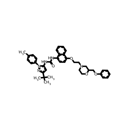 Cc1ccc(-n2nc(C(C)(C)C)cc2NC(=O)Nc2ccc(OCCN3CCOC(COc4ccccc4)C3)c3ccccc23)cc1